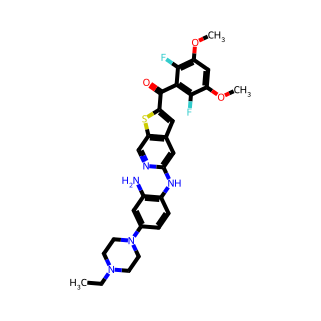 CCN1CCN(c2ccc(Nc3cc4cc(C(=O)c5c(F)c(OC)cc(OC)c5F)sc4cn3)c(N)c2)CC1